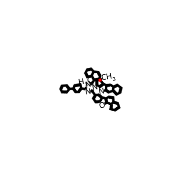 CC1C=Cc2c1c1cc3ccccc3cc1n2-c1c(-c2nc(C3=CC=CC4C=CC=CC34C)nc(-c3ccc(-c4ccccc4)cc3)n2)ccc2oc3c4ccccc4ccc3c12